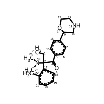 CCC(C(=O)c1ccc(C2CNCCO2)cc1)(c1ccccc1C)N(C)C